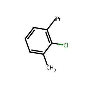 Cc1cc[c]c(C(C)C)c1Cl